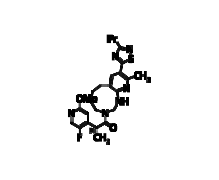 COc1cc([C@@H](C)C(=O)N2CCCCc3cc(-c4nc(C(C)C)ns4)c(C)nc3NC2)c(F)cn1